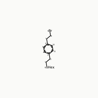 CCCCCCCCc1ccc(CCBr)cc1